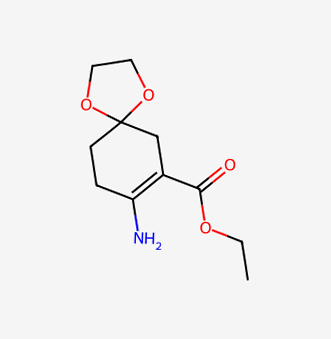 CCOC(=O)C1=C(N)CCC2(C1)OCCO2